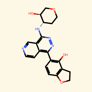 Oc1c(-c2nnc(N[C@H]3CCOC[C@@H]3O)c3cnccc23)ccc2c1CCO2